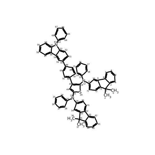 CC1(C)c2ccccc2-c2cc(N(c3ccccc3)c3sc(N(c4ccccc4)c4ccc5c(c4)C(C)(C)c4ccccc4-5)cc3-c3ccc(-c4ccc5c(c4)c4ccccc4n5-c4ccccc4)cc3)ccc21